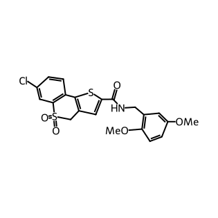 COc1ccc(OC)c(CNC(=O)c2cc3c(s2)-c2ccc(Cl)cc2S(=O)(=O)C3)c1